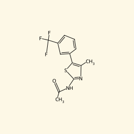 CC(=O)Nc1nc(C)c(-c2cccc(C(F)(F)F)c2)s1